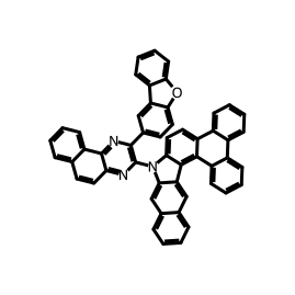 c1ccc2cc3c(cc2c1)c1c2c4ccccc4c4ccccc4c2ccc1n3-c1nc2ccc3ccccc3c2nc1-c1ccc2oc3ccccc3c2c1